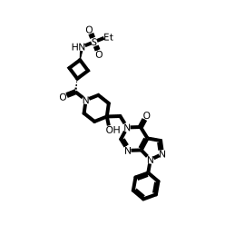 CCS(=O)(=O)N[C@H]1C[C@H](C(=O)N2CCC(O)(Cn3cnc4c(cnn4-c4ccccc4)c3=O)CC2)C1